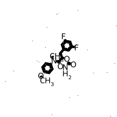 COc1ccc(N(C)C(=O)C(Cc2cc(F)cc(F)c2)OC(N)=O)cc1